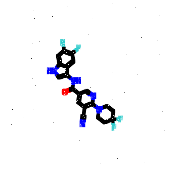 N#Cc1cc(C(=O)Nc2c[nH]c3cc(F)c(F)cc23)cnc1N1CCC(F)(F)CC1